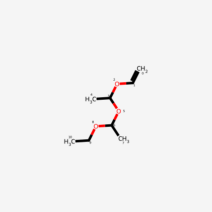 C=COC(C)OC(C)OCC